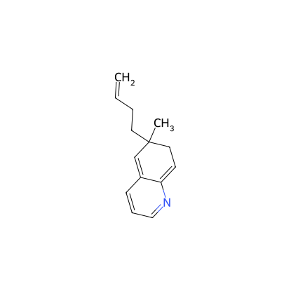 C=CCCC1(C)C=c2cccnc2=CC1